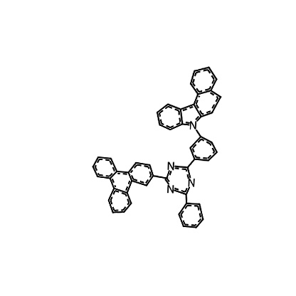 c1ccc(-c2nc(-c3cccc(-n4c5ccccc5c5c6ccccc6ccc54)c3)nc(-c3ccc4c5ccccc5c5ccccc5c4c3)n2)cc1